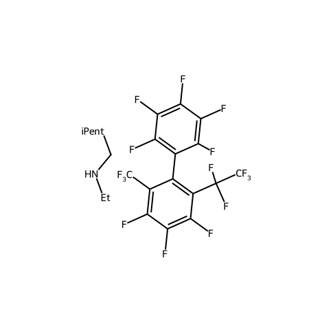 CCCC(C)CNCC.Fc1c(F)c(F)c(-c2c(C(F)(F)F)c(F)c(F)c(F)c2C(F)(F)C(F)(F)F)c(F)c1F